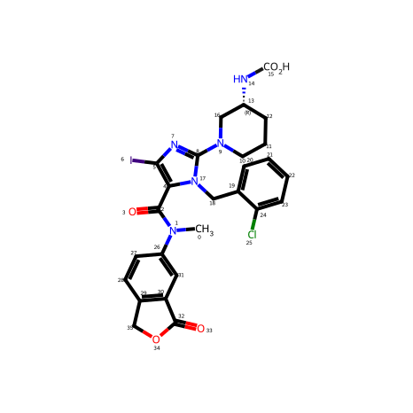 CN(C(=O)c1c(I)nc(N2CCC[C@@H](NC(=O)O)C2)n1Cc1ccccc1Cl)c1ccc2c(c1)C(=O)OC2